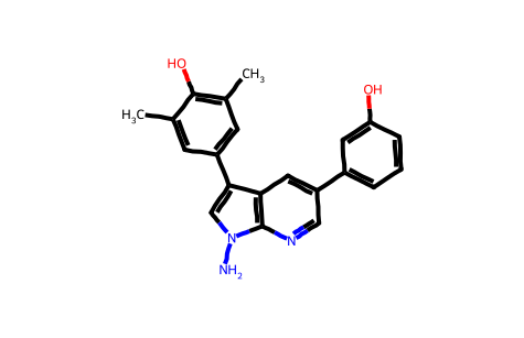 Cc1cc(-c2cn(N)c3ncc(-c4cccc(O)c4)cc23)cc(C)c1O